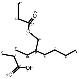 CCC(=O)O.CCCCC(CC)COC(=O)CC